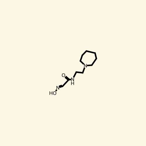 O=C(C=NO)NCCN1CCCCCC1